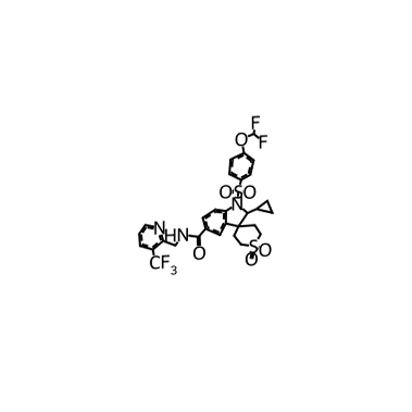 O=C(NCc1ncccc1C(F)(F)F)c1ccc2c(c1)C1(CCS(=O)(=O)CC1)C(C1CC1)N2S(=O)(=O)c1ccc(OC(F)F)cc1